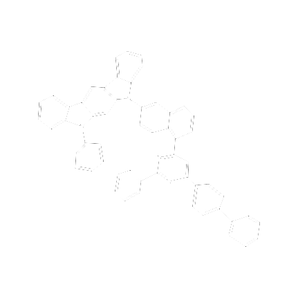 c1ccc(-c2ccc(-c3cc(-c4cccc5cc(-n6c7ccccc7c7cc8c9ccccc9n(-c9ccccc9)c8cc76)ccc45)nc(-c4ccccc4)n3)cc2)cc1